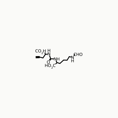 C#CCC(NC(=O)NC(CCCCNC=O)C(=O)O)C(=O)O